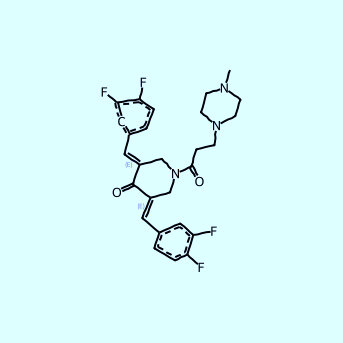 CN1CCN(CCC(=O)N2C/C(=C\c3ccc(F)c(F)c3)C(=O)/C(=C/c3ccc(F)c(F)c3)C2)CC1